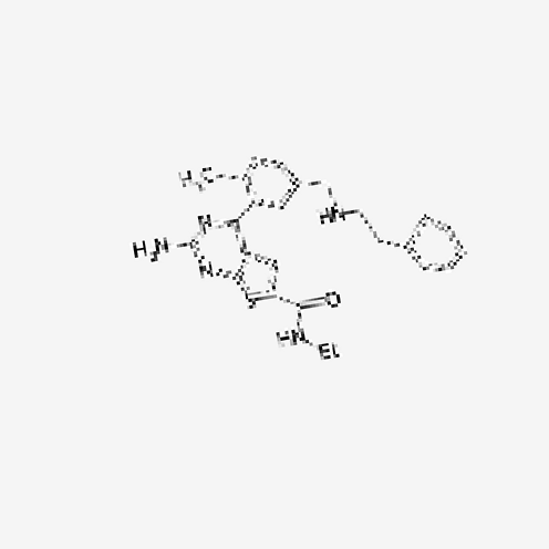 CCNC(=O)c1cc2c(-c3cc(CNCCc4ccccc4)ccc3C)nc(N)nc2s1